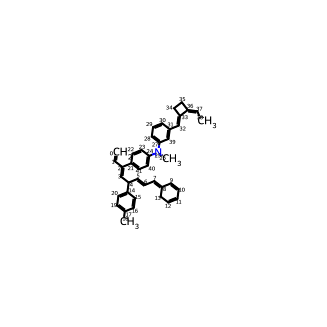 C=C/C(=C/C(/C=C/C=C1/C=CC=CC1)c1ccc(C)cc1)c1ccc(N(C)c2cccc(C=C3CC/C3=C/C)c2)cc1